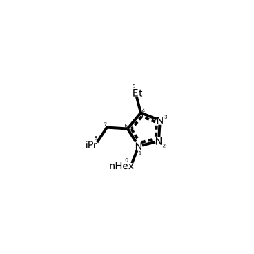 CCCCCCn1nnc(CC)c1CC(C)C